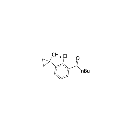 CCCCC(=O)c1cccc(C2(C)CC2)c1Cl